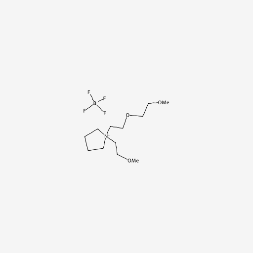 COCCOCC[N+]1(CCOC)CCCC1.F[B-](F)(F)F